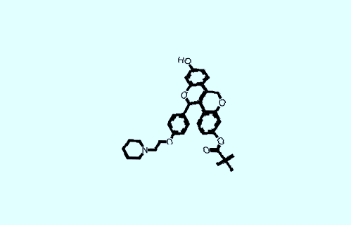 CC(C)(C)C(=O)Oc1ccc2c(c1)OCC1=C2C(c2ccc(OCCN3CCCCC3)cc2)Oc2cc(O)ccc21